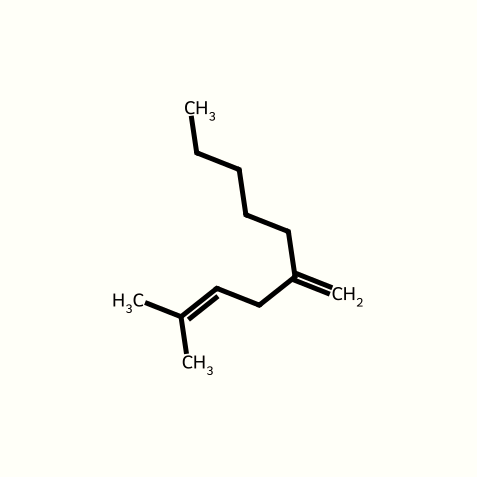 C=C(CC=C(C)C)CCCCC